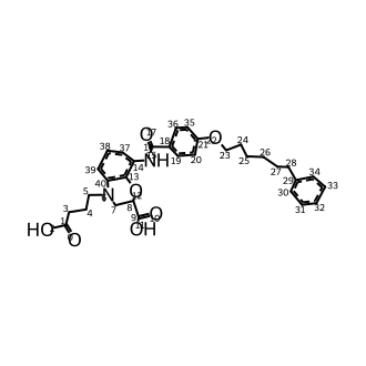 O=C(O)CCCN1CC(C(=O)O)Oc2c(NC(=O)c3ccc(OCCCCCCc4ccccc4)cc3)cccc21